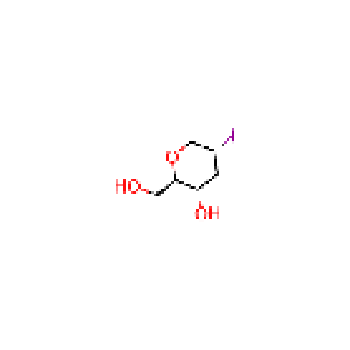 OC[C@H]1OC[C@H](I)C[C@@H]1O